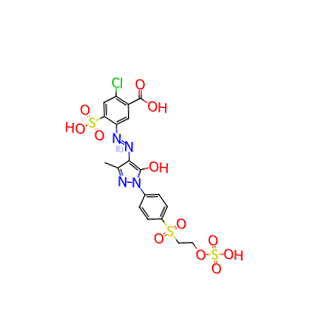 Cc1nn(-c2ccc(S(=O)(=O)CCOS(=O)(=O)O)cc2)c(O)c1/N=N/c1cc(C(=O)O)c(Cl)cc1S(=O)(=O)O